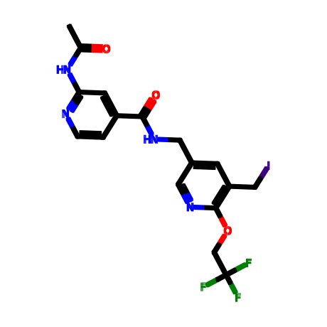 CC(=O)Nc1cc(C(=O)NCc2cnc(OCC(F)(F)F)c(CI)c2)ccn1